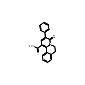 O=C(O)c1cc(-c2ccccc2)c(=O)n2c1-c1ccccc1CC2